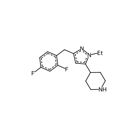 CCn1nc(Cc2ccc(F)cc2F)cc1C1CCNCC1